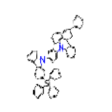 c1ccc(-c2cccc(-c3ccccc3-n3c4ccccc4c4cc(-n5c6ccccc6c6ccc([Si](c7ccccc7)(c7ccccc7)c7ccccc7)cc65)ccc43)c2)cc1